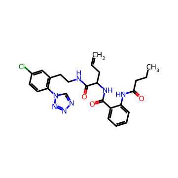 C=CCC(NC(=O)c1ccccc1NC(=O)CCC)C(=O)NCCc1cc(Cl)ccc1-n1cnnn1